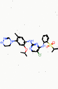 Cc1cc(Nc2ncc(Cl)c(Nc3ccccc3S(=O)(=O)C(C)C)n2)c(OC(C)C)cc1N1C=NNCC1